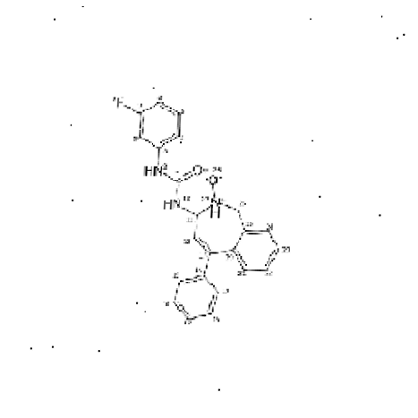 O=C(Nc1cccc(F)c1)NC1C=C(c2ccccc2)c2ccccc2C[NH+]1[O-]